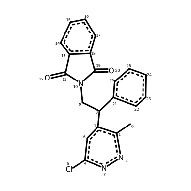 Cc1nnc(Cl)cc1C(CN1C(=O)c2ccccc2C1=O)c1ccccc1